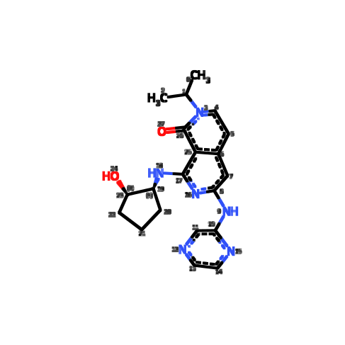 CC(C)n1ccc2cc(Nc3cnccn3)nc(N[C@H]3CCC[C@H]3O)c2c1=O